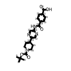 CC(C)(C)OC(=O)N1CC=C(c2cnc(NC(=O)c3ccc(C(=O)O)cc3)cn2)CC1